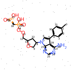 Cc1ccc(-c2cn(C3COC(COOP(=O)(O)/C=[P+](/[O-])O)C3)c3ncnc(N)c23)cc1